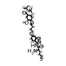 COc1cc(C(=O)N(C(C)C)C(C)C)ccc1OCCCCOc1ccc2c(NC(=O)C(N)CCC=S)noc2c1